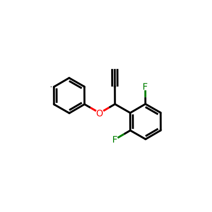 C#CC(Oc1cc[c]cc1)c1c(F)cccc1F